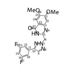 COc1cc2nc(Cn3ncc(-c4cc(F)cc(F)c4)n3)[nH]c(=O)c2cc1OC